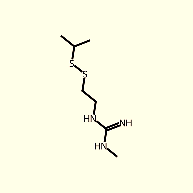 CNC(=N)NCCSSC(C)C